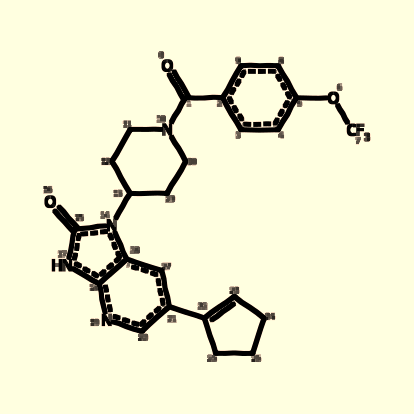 O=C(c1ccc(OC(F)(F)F)cc1)N1CCC(n2c(=O)[nH]c3ncc(C4=CCCC4)cc32)CC1